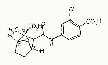 C[C@]1(C(=O)O)C(C(=O)Nc2ccc(C(=O)O)c(Cl)c2)[C@H]2CC[C@@H]1O2